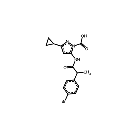 CC(C(=O)Nc1cc(C2CC2)nn1C(=O)O)c1ccc(Br)cc1